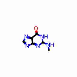 CNC1N=C2N=CN=C2C(=O)N1